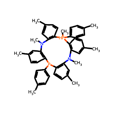 Cc1ccc(P2c3ccc(C)cc3N(C)c3cc(C)ccc3[PH](C)(c3ccc(C)cc3)c3ccc(C)cc3N(C)c3cc(C)ccc32)cc1